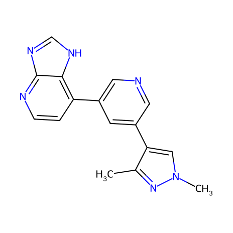 Cc1nn(C)cc1-c1cncc(-c2ccnc3nc[nH]c23)c1